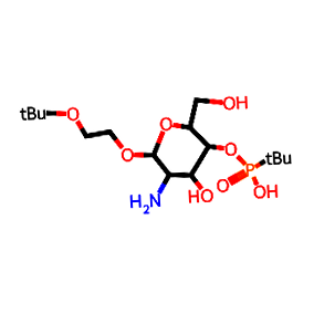 CC(C)(C)OCCOC1OC(CO)C(OP(=O)(O)C(C)(C)C)C(O)C1N